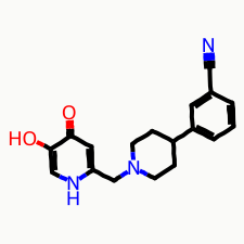 N#Cc1cccc(C2CCN(Cc3cc(=O)c(O)c[nH]3)CC2)c1